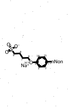 CCCCCCCCCc1ccc(OCCCCS(=O)(=O)[O-])cc1.[Na+]